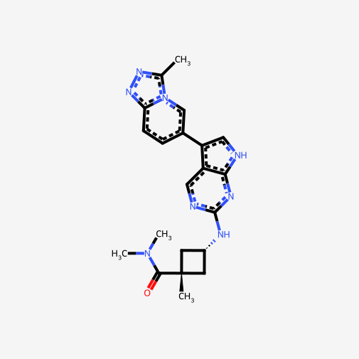 Cc1nnc2ccc(-c3c[nH]c4nc(N[C@H]5C[C@@](C)(C(=O)N(C)C)C5)ncc34)cn12